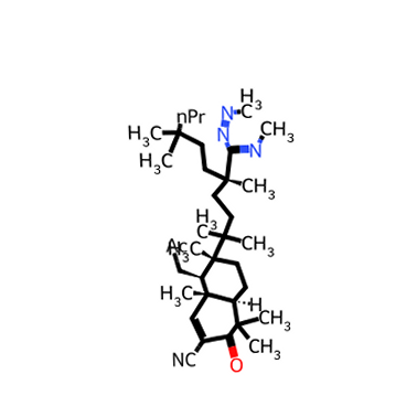 CCCC(C)(C)CC[C@@](C)(CCC(C)(C)[C@]1(C)CC[C@H]2C(C)(C)C(=O)C(C#N)=C[C@]2(C)[C@H]1CC(C)=O)C(/N=N\C)=N/C